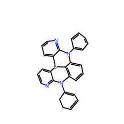 C1=CCCC(N2c3cccc4c3B(c3cccnc32)c2cccnc2N4c2ccccc2)=C1